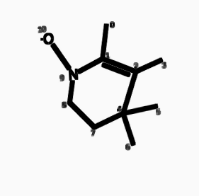 CC1=C(C)C(C)(C)CCN1[O]